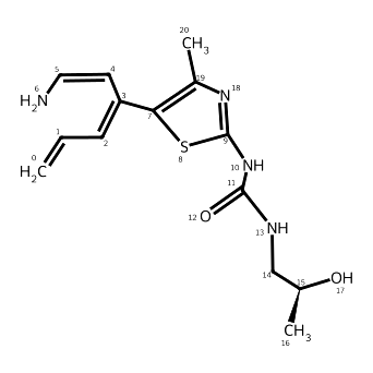 C=C/C=C(\C=C/N)c1sc(NC(=O)NC[C@H](C)O)nc1C